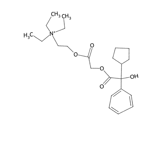 CC[N+](CC)(CC)CCOC(=O)COC(=O)C(O)(c1ccccc1)C1CCCC1